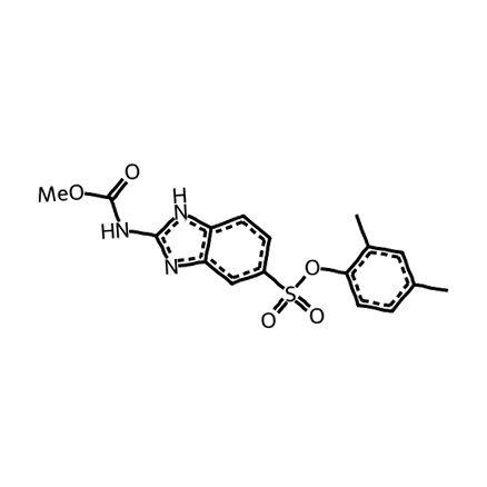 COC(=O)Nc1nc2cc(S(=O)(=O)Oc3ccc(C)cc3C)ccc2[nH]1